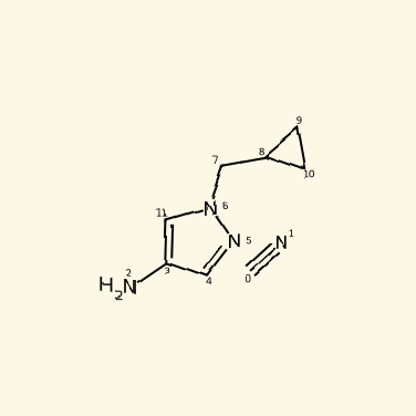 C#N.Nc1cnn(CC2CC2)c1